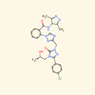 CC1=NN=C(C)C1NC(=O)c1ccccc1-n1cnc(Cn2nc(-c3ccc(Cl)cc3)n(C[C@H](O)C(F)(F)F)c2=O)n1